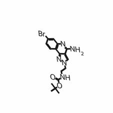 CC(C)(C)OC(=O)NCCn1cc2c(N)nc3cc(Br)ccc3c2n1